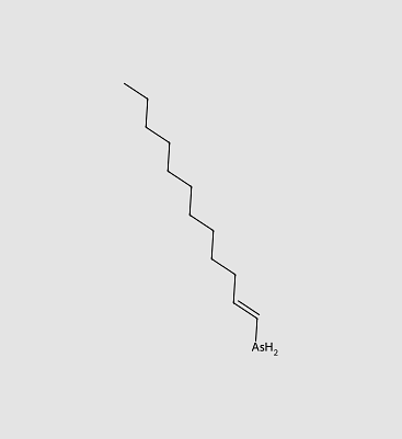 CCCCCCCCCCC=C[AsH2]